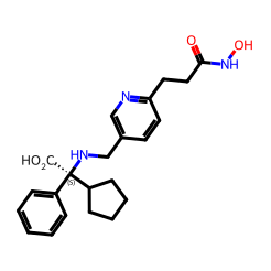 O=C(CCc1ccc(CN[C@](C(=O)O)(c2ccccc2)C2CCCC2)cn1)NO